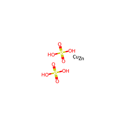 O=S(=O)(O)O.O=S(=O)(O)O.[Cu].[Zn]